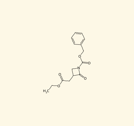 CCOC(=O)CC1CN(C(=O)OCc2ccccc2)C1=O